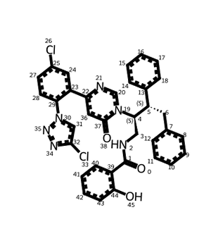 O=C(NC[C@H]([C@@H](Cc1ccccc1)c1ccccc1)n1cnc(-c2cc(Cl)ccc2-n2cc(Cl)nn2)cc1=O)c1ccccc1O